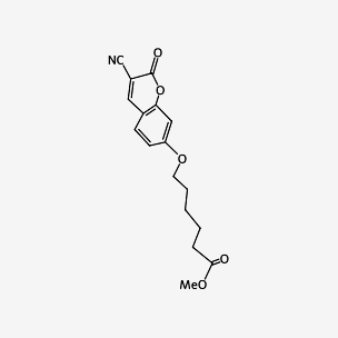 COC(=O)CCCCCOc1ccc2cc(C#N)c(=O)oc2c1